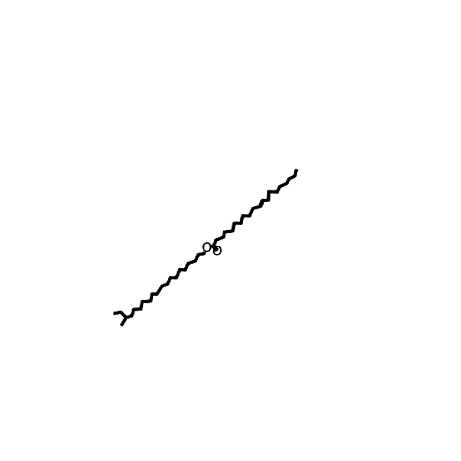 CCCCCCCCC=CCCCCCCCCCC(=O)OCCCCCCCCCCCCCCCCCC(C)CC